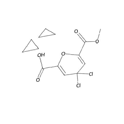 C1CC1.C1CC1.COC(=O)C1=CC(Cl)(Cl)C=C(C(=O)O)O1